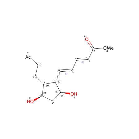 COC(=O)/C=C/C=C/[C@H]1[C@@H](CCC(C)=O)[C@H](O)C[C@@H]1O